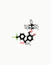 CC(O)(c1cccc(C(F)(F)F)c1)c1ccc(Br)c(CO[Si](C)(C)C(C)(C)C)c1